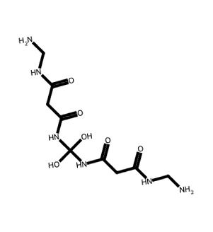 NCNC(=O)CC(=O)NC(O)(O)NC(=O)CC(=O)NCN